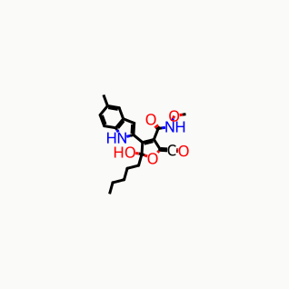 CCCCCC1(O)OC(=C=O)C(C(=O)NOC)=C1c1cc2cc(C)ccc2[nH]1